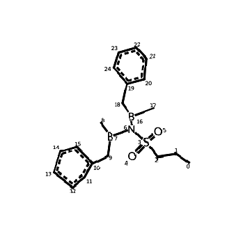 CCCS(=O)(=O)N(B(C)Cc1ccccc1)B(C)Cc1ccccc1